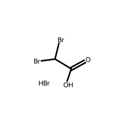 Br.O=C(O)C(Br)Br